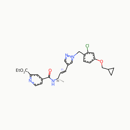 CCOC(=O)c1cc(C(=O)N[C@@H](C)/C=C/c2cnn(Cc3ccc(OCC4CC4)cc3Cl)c2)ccn1